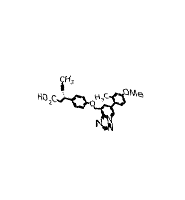 CC#C[C@@H](CC(=O)O)c1ccc(OCc2cc(-c3ccc(OC)cc3C)cn3ncnc23)cc1